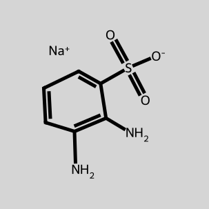 Nc1cccc(S(=O)(=O)[O-])c1N.[Na+]